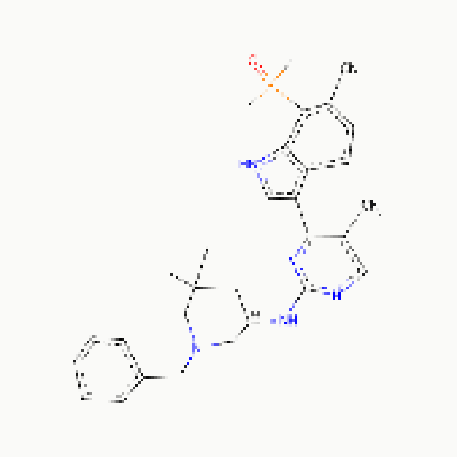 CC1(C)C[C@H](Nc2ncc(C(F)(F)F)c(-c3c[nH]c4c(P(C)(C)=O)c(C#N)ccc34)n2)CN(Cc2ccccc2)C1